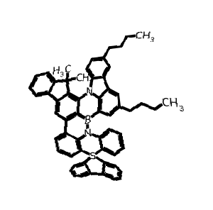 CCCCc1ccc2c(c1)c1cc(CCCC)cc3c1n2-c1c2c(cc4c1C(C)(C)c1ccccc1-4)-c1cccc4c1N(B23)c1ccccc1S41c2ccccc2-c2ccccc21